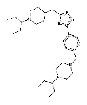 CCC(CC)N1CCC(Cc2noc(-c3ccc(CN4CCN(C(CC)CC)CC4)cc3)n2)CC1